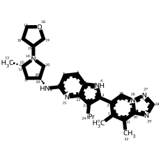 Cc1c(-c2[nH]c3ccc(N[C@@H]4C[C@H](C)N(C5CCOC5)C4)nc3c2C(C)C)cn2ncnc2c1C